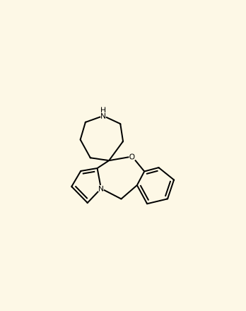 c1ccc2c(c1)Cn1cccc1C1(CCCNCC1)O2